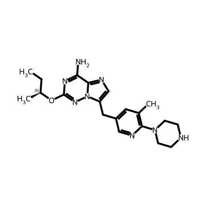 CC[C@H](C)Oc1nc(N)c2ncc(Cc3cnc(N4CCNCC4)c(C)c3)n2n1